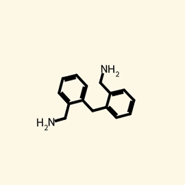 NCc1ccccc1Cc1ccccc1CN